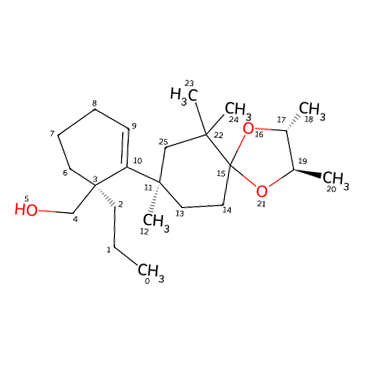 CCC[C@]1(CO)CCCC=C1[C@]1(C)CCC2(O[C@H](C)[C@@H](C)O2)C(C)(C)C1